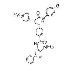 CN1CCN(C(CCc2ccc(C(=O)Nc3cc(-c4ccccc4)ccc3N)cc2)C(=O)Nc2ccc(Cl)cc2)CC1